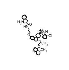 C[C@@H](COc1ccnc2c1[C@H](C)CCC2)C[C@H]1Cc2ccc(OCCCNC(=O)C(CN)Cc3ccccc3)cc2C12CCC(Nc1cccc(Cl)c1)(C(=O)O)CC2